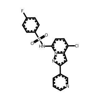 O=S(=O)(Nc1ccc(Cl)c2cc(-c3cccnc3)nn12)c1ccc(F)cc1